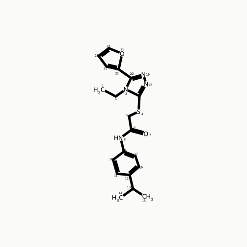 CCn1c(SCC(=O)Nc2ccc(C(C)C)cc2)nnc1-c1ccco1